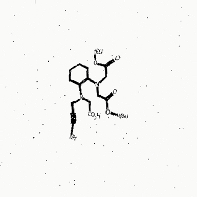 CCCC#CCN(CC(=O)O)C1CCCCC1N(CC(=O)OC(C)(C)C)CC(=O)OC(C)(C)C